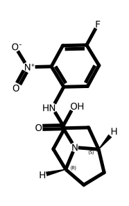 O=C(O)N1[C@@H]2CC[C@H]1CC(Nc1ccc(F)cc1[N+](=O)[O-])C2